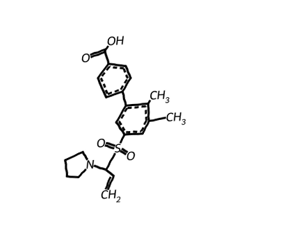 C=CC(N1CCCC1)S(=O)(=O)c1cc(C)c(C)c(-c2ccc(C(=O)O)cc2)c1